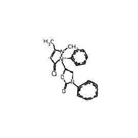 CC1=[C]C(=O)[N+](c2ccccc2)(C2CN(c3ccccc3)C(=O)O2)N1C